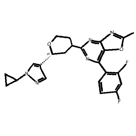 Cc1nc2nc(C3CCO[C@@H](c4cnn(C5CC5)c4)C3)nc(-c3ccc(F)cc3F)c2o1